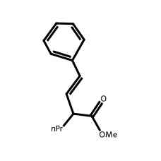 CCCC(C=Cc1ccccc1)C(=O)OC